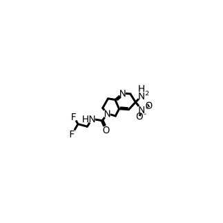 NC1([N+](=O)[O-])C=C2CN(C(=O)NCC(F)F)CCC2=NC1